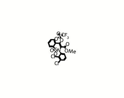 COC(=O)C1=C(OS(=O)(=O)C(F)(F)F)c2ccccc2S(=O)(=O)N1c1cccc(Cl)c1Cl